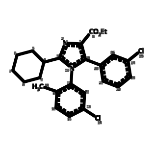 CCOC(=O)c1nc(C2CCCCC2)n(-c2cc(Cl)ccc2C)c1-c1cccc(Cl)c1